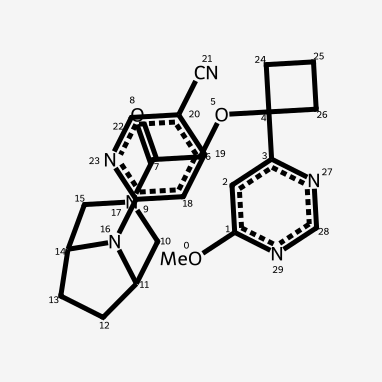 COc1cc(C2(OCC(=O)N3CC4CCC(C3)N4c3ccc(C#N)cn3)CCC2)ncn1